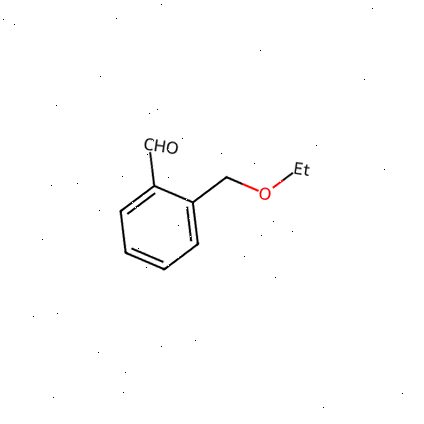 CCOCc1ccccc1C=O